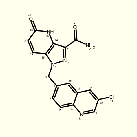 NC(=O)c1nn(Cc2ccc3ncc(Cl)cc3c2)c2ccc(=O)[nH]c12